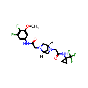 COc1cc(NC(=O)CN2C[C@@H]3C[C@H]2CN3CC(=O)NC2(C(F)(F)F)CC2)cc(F)c1F